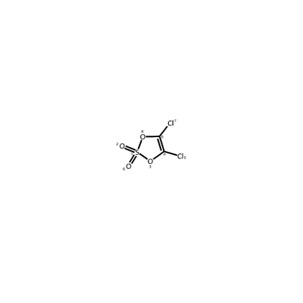 O=S1(=O)OC(Cl)=C(Cl)O1